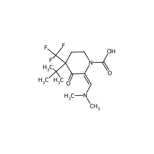 CN(C)C=C1C(=O)C(C(C)(C)C)(C(F)(F)F)CCN1C(=O)O